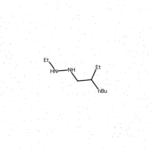 CCCCC(CC)CNNCC